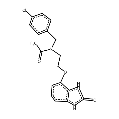 O=C(N(CCOc1cccc2[nH]c(=O)[nH]c12)Cc1ccc(Cl)cc1)C(F)(F)F